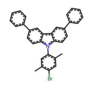 Cc1cc(-n2c3ccc(-c4ccccc4)cc3c3cc(-c4ccccc4)ccc32)c(C)cc1Br